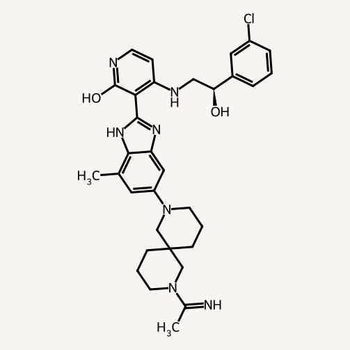 CC(=N)N1CCCC2(CCCN(c3cc(C)c4[nH]c(-c5c(NC[C@H](O)c6cccc(Cl)c6)ccnc5O)nc4c3)C2)C1